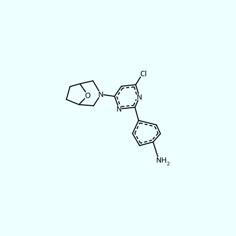 Nc1ccc(-c2nc(Cl)cc(N3CC4CCC(C3)O4)n2)cc1